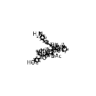 CC[C@H](C)[C@H](NC(=O)[C@H]1CCCCN1C)C(=O)N(OCCCOCc1ccc(N)cc1)[C@H](C[C@@H](OC(C)=O)c1nc(C(=O)N[C@@H](Cc2ccc(O)cc2)C[C@H](C)C(=O)O)cs1)C(C)C